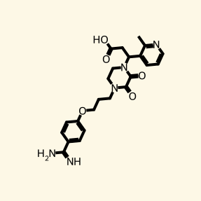 Cc1ncccc1C(CC(=O)O)N1CCN(CCCOc2ccc(C(=N)N)cc2)C(=O)C1=O